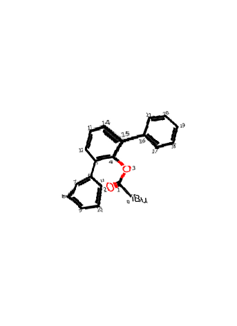 CCC(C)C(=O)Oc1c(-c2ccccc2)cccc1-c1ccccc1